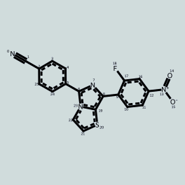 N#Cc1ccc(-c2nc(-c3ccc([N+](=O)[O-])cc3F)c3sccn23)cc1